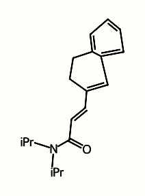 CC(C)N(C(=O)C=CC1=Cc2ccccc2CC1)C(C)C